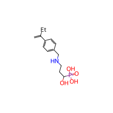 C=C(CC)c1ccc(CNCCC(O)P(=O)(O)O)cc1